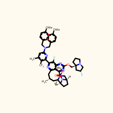 COc1ccc(CN(Cc2ccc(OC)cc2)c2cc(C)c(C(F)(F)F)c(-c3nc4c5c(nc(OC[C@@]67CCCN6C[C@H](F)C7)nc5c3F)N3C[C@H]5CC[C@@H]([C@H]3C[C@H](C)C4)N5C(=O)OC(C)(C)C)n2)cc1